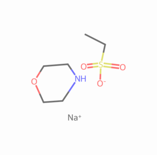 C1COCCN1.CCS(=O)(=O)[O-].[Na+]